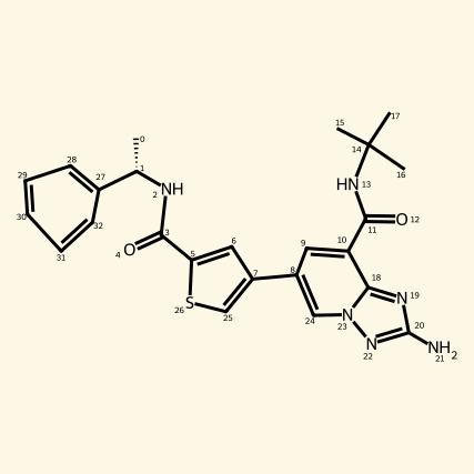 C[C@H](NC(=O)c1cc(-c2cc(C(=O)NC(C)(C)C)c3nc(N)nn3c2)cs1)c1ccccc1